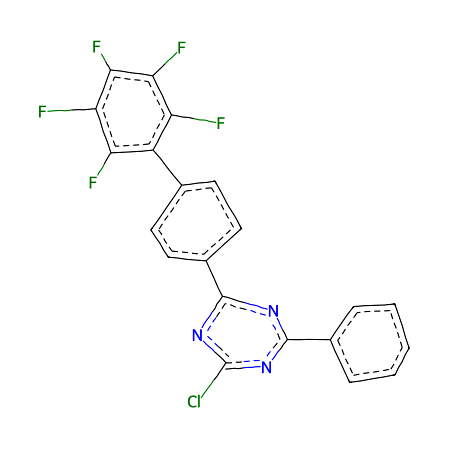 Fc1c(F)c(F)c(-c2ccc(-c3nc(Cl)nc(-c4ccccc4)n3)cc2)c(F)c1F